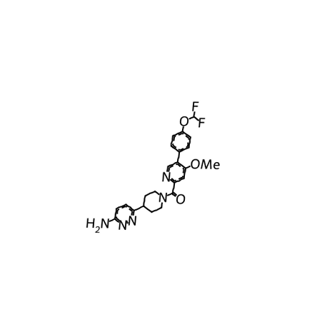 COc1cc(C(=O)N2CCC(c3ccc(N)nn3)CC2)ncc1-c1ccc(OC(F)F)cc1